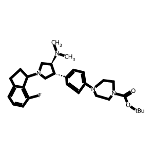 CN(C)[C@@H]1CN(C2CCc3cccc(F)c32)C[C@H]1c1ccc(N2CCN(C(=O)OC(C)(C)C)CC2)cc1